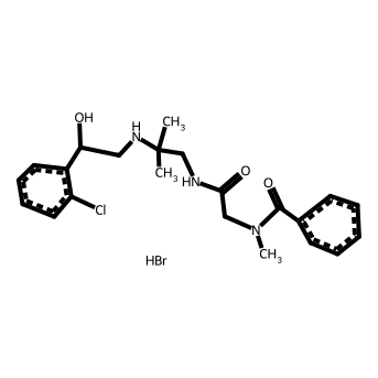 Br.CN(CC(=O)NCC(C)(C)NCC(O)c1ccccc1Cl)C(=O)c1ccccc1